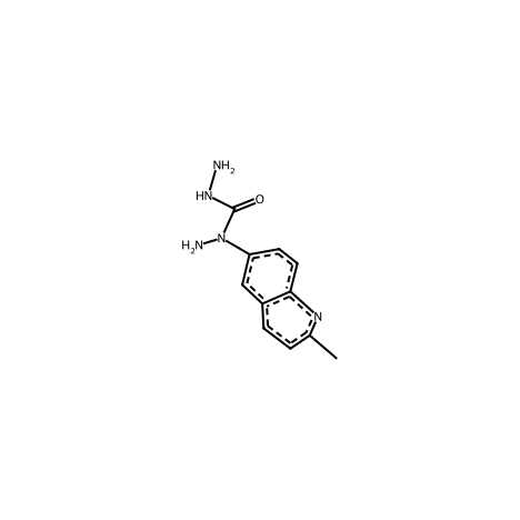 Cc1ccc2cc(N(N)C(=O)NN)ccc2n1